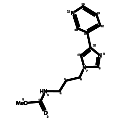 COC(=O)NCCCn1cnc(-c2cccnc2)c1